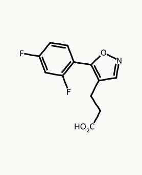 O=C(O)CCc1cnoc1-c1ccc(F)cc1F